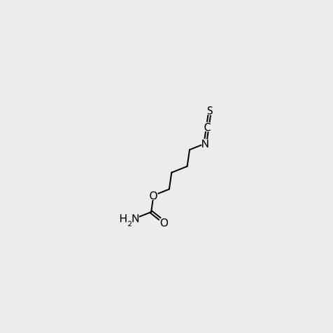 NC(=O)OCCCCN=C=S